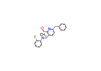 CN(Cc1ccc(Cc2ccccc2)nc1C=O)c1ccccc1F